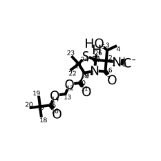 [C-]#[N+]C1(C(C)O)C(=O)N2[C@@H](C(=O)OCOC(=O)C(C)(C)C)C(C)(C)S[C@@H]21